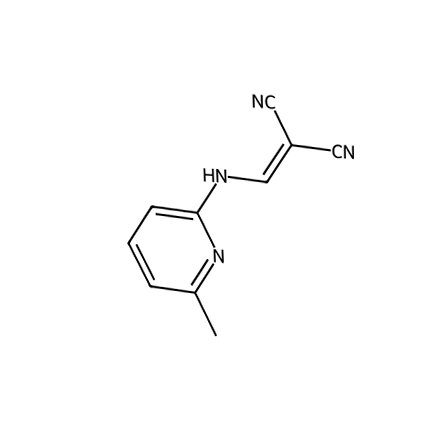 Cc1cccc(NC=C(C#N)C#N)n1